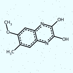 COc1cc2nc(O)c(O)nc2cc1C